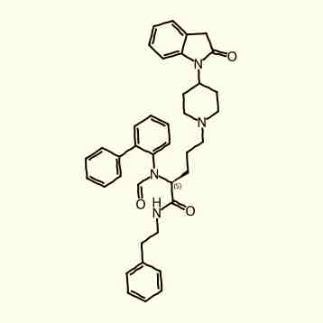 O=CN(c1ccccc1-c1ccccc1)[C@@H](CCCN1CCC(N2C(=O)Cc3ccccc32)CC1)C(=O)NCCc1ccccc1